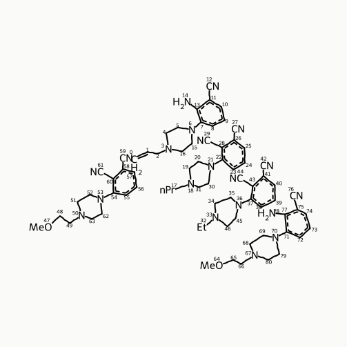 C=CCN1CCN(c2cccc(C#N)c2N)CC1.CCCN1CCN(c2cccc(C#N)c2C#N)CC1.CCN1CCN(c2cccc(C#N)c2C#N)CC1.COCCN1CCN(c2cccc(C#N)c2C#N)CC1.COCCN1CCN(c2cccc(C#N)c2N)CC1